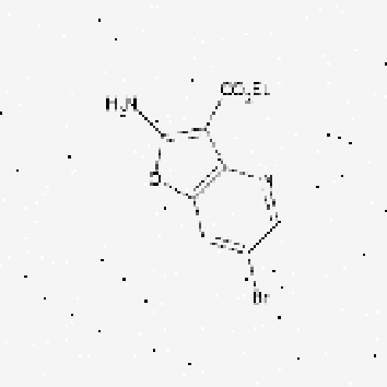 CCOC(=O)c1c(N)oc2cc(Br)cnc12